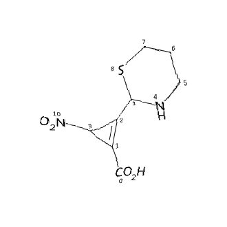 O=C(O)C1=C(C2NCCCS2)C1[N+](=O)[O-]